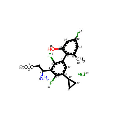 CCOC(=O)C[C@H](N)c1c(F)c(-c2c(C)cc(F)cc2O)cc(C2CC2)c1F.Cl